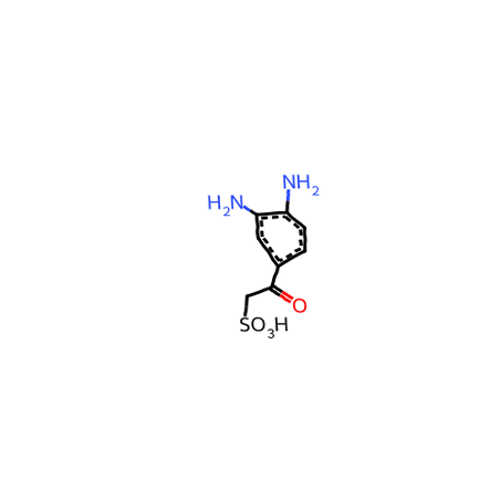 Nc1ccc(C(=O)CS(=O)(=O)O)cc1N